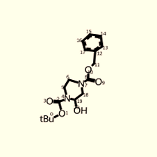 CC(C)(C)OC(=O)N1CCN(C(=O)OCc2ccccc2)CC1O